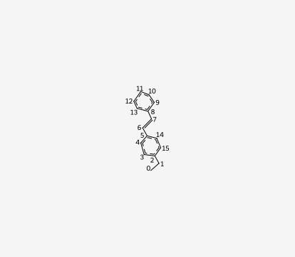 CCc1ccc(C=Cc2ccccc2)cc1